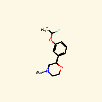 CC(F)Oc1cccc(C2CN(C(C)(C)C)CCO2)c1